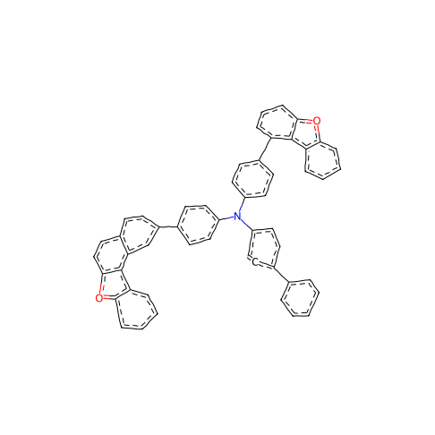 c1ccc(-c2ccc(N(c3ccc(-c4ccc5ccc6oc7ccccc7c6c5c4)cc3)c3ccc(-c4cccc5oc6ccccc6c45)cc3)cc2)cc1